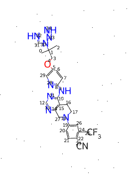 CC(C)(COc1ccc(Nc2ncnc3c2CCN(c2ccc(C#N)c(C(F)(F)F)c2)C3)nc1)N(C=N)N=N